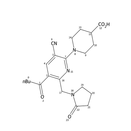 CCCCC(=O)c1cc(C#N)c(N2CCC(C(=O)O)CC2)nc1CN1CCCC1=O